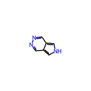 c1nncc2c[nH]cc12